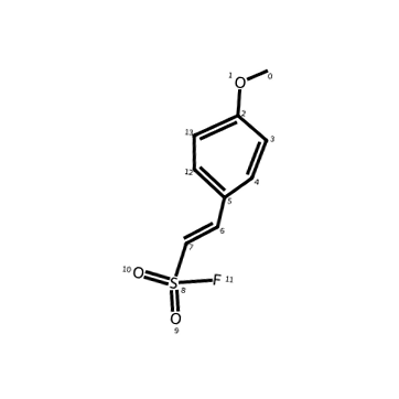 COc1ccc(/C=C/S(=O)(=O)F)cc1